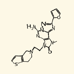 Cn1c(=O)n(CCN2CCc3sccc3C2)c2nc(N)n3nc(-c4ccco4)nc3c21